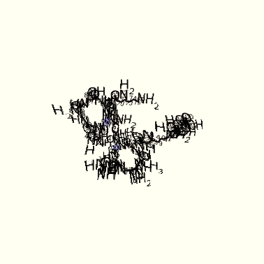 C[C@@H]1NC(=O)[C@@H](N)CNC(=O)[C@H](C2CCNC(=N)N2)NC(=O)/C(=C/NC(N)=O)NC(=O)[C@H](CNC(=O)CC(N)CCCN)NC1=O.N=C1NCCC([C@@H]2NC(=O)/C(=C/NC(N)=O)NC(=O)[C@H](CNC(=O)CC(N)CCCN)NC(=O)[C@H](CO)NC(=O)[C@@H](N)CNC2=O)N1.O=S(=O)(O)O.O=S(=O)(O)O